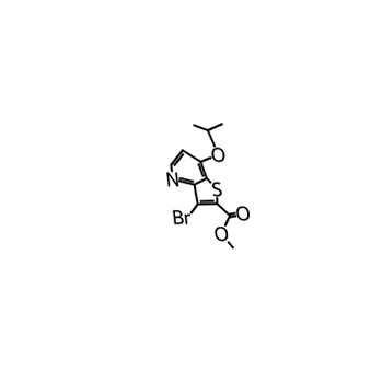 COC(=O)c1sc2c(OC(C)C)ccnc2c1Br